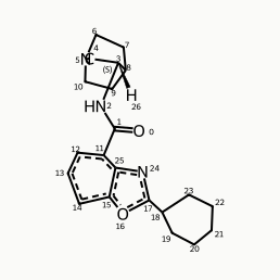 O=C(N[C@@H]1CN2CCC1CC2)c1cccc2oc(C3CCCCC3)nc12